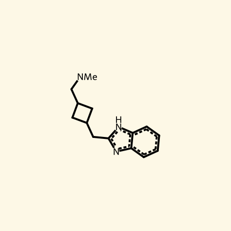 CNCC1CC(Cc2nc3ccccc3[nH]2)C1